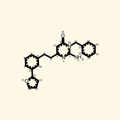 Nc1nc(CCc2cccc(-c3ccco3)c2)cc(=O)n1Cc1ccccc1